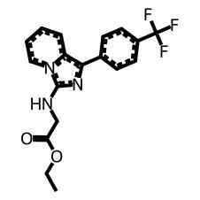 CCOC(=O)CNc1nc(-c2ccc(C(F)(F)F)cc2)c2ccccn12